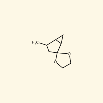 CC1CC2(OCCO2)C2CC12